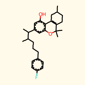 CC1CCC2=C(C1)c1c(O)cc(C(C)C(C)CCCc3ccc(F)cc3)cc1OC2(C)C